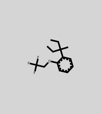 CCC(C)(CC)c1ccccc1OCC(F)(F)F